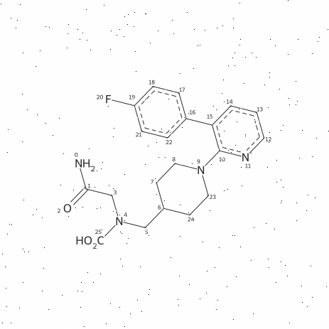 NC(=O)CN(CC1CCN(c2ncccc2-c2ccc(F)cc2)CC1)C(=O)O